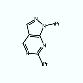 CC(C)c1ncc2cnn(C(C)C)c2n1